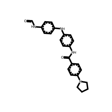 O=CNc1ccc(Nc2ccc(NC(=O)c3ccc(N4CCCC4)cc3)cc2)cc1